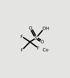 O=S(=O)(O)C(F)(F)F.[Co]